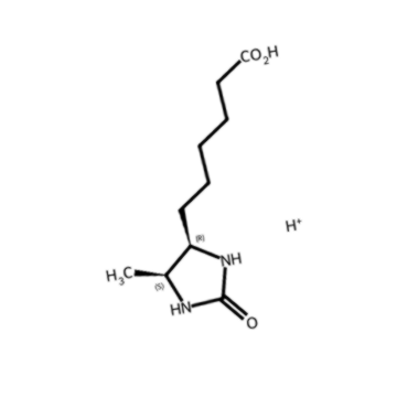 C[C@@H]1NC(=O)N[C@@H]1CCCCCC(=O)O.[H+]